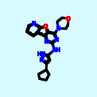 c1cnc2oc3c(N4CCOCC4)nc(Nc4cc(C5CCCC5)n[nH]4)nc3c2c1